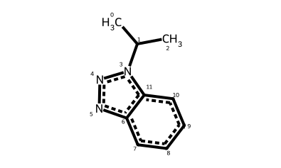 CC(C)n1nnc2cc[c]cc21